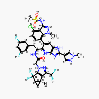 Cn1cc(-c2nc3nc([C@H](Cc4cc(F)cc(F)c4)NC(=O)Cn4nc(C(F)F)c5c4C(F)(F)C4C[C@H]54)c(-c4ccc(Cl)c5c(NS(C)(=O)=O)nn(C)c45)cc3[nH]2)cn1